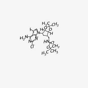 CC(C)(C)OC(=O)NC[C@H]1C[C@@H](n2cc(I)c3c(N)nc(Cl)nc32)[C@@H]2OC(C)(C)O[C@H]12